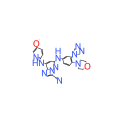 COc1ccc(Nc2cc(Nc3ccc(N4CCOCC4)c(-n4cnnc4)c3)nn3c(C#N)cnc23)nc1